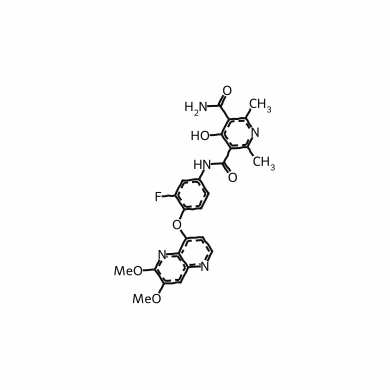 COc1cc2nccc(Oc3ccc(NC(=O)c4c(C)nc(C)c(C(N)=O)c4O)cc3F)c2nc1OC